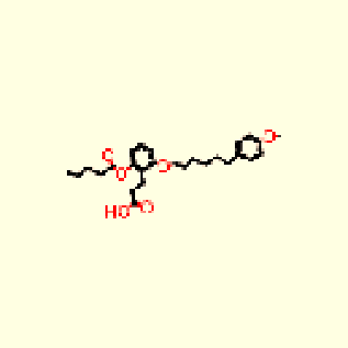 CCCCC(=O)Oc1cccc(OC=CCCCCc2ccc(OC)cc2)c1CCC(=O)O